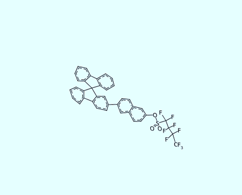 O=S(=O)(Oc1ccc2cc(-c3ccc4c(c3)C3(c5ccccc5-c5ccccc53)c3ccccc3-4)ccc2c1)C(F)(F)C(F)(F)C(F)(F)C(F)(F)F